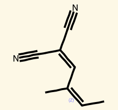 C/C=C(/C)C=C(C#N)C#N